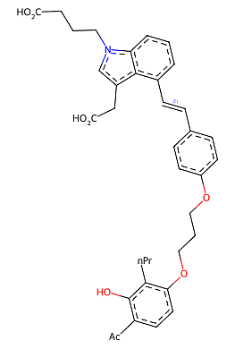 CCCc1c(OCCCOc2ccc(/C=C/c3cccc4c3c(CC(=O)O)cn4CCCC(=O)O)cc2)ccc(C(C)=O)c1O